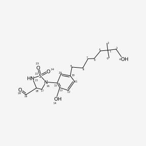 CC(C)(CO)CCCCCc1ccc(O)c(N2CC(C=O)NS2(=O)=O)c1